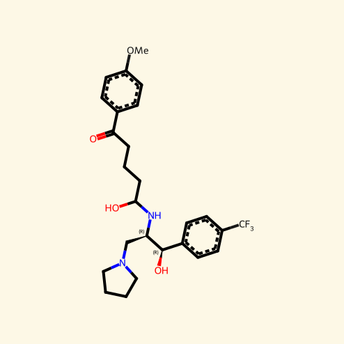 COc1ccc(C(=O)CCCC(O)N[C@H](CN2CCCC2)[C@H](O)c2ccc(C(F)(F)F)cc2)cc1